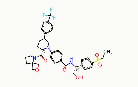 CCS(=O)(=O)c1ccc([C@H](CO)NC(=O)c2ccc(N3CC(c4ccc(C(F)(F)F)cc4)CC[C@H]3C(=O)N3CCCC34COC4)cc2)cc1